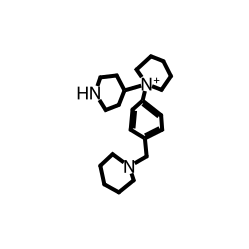 c1cc([N+]2(C3CCNCC3)CCCCC2)ccc1CN1CCCCC1